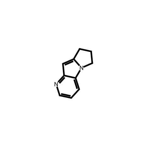 c1cnc2cc3n(c2c1)CCC3